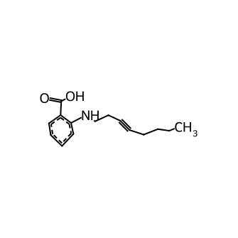 CCCCC#CCCNc1ccccc1C(=O)O